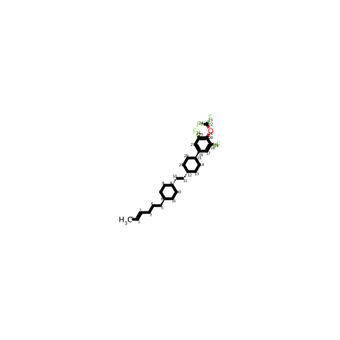 C/C=C/CCC[C@H]1CC[C@H](CC[C@H]2CC[C@H](c3cc(F)c(OC(F)F)c(F)c3)CC2)CC1